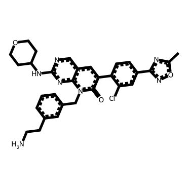 Cc1nc(-c2ccc(-c3cc4cnc(NC5CCOCC5)nc4n(Cc4cccc(CCN)c4)c3=O)c(Cl)c2)no1